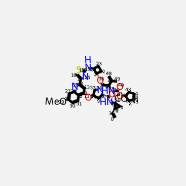 C=C[C@@H]1C[C@]1(NC(=O)[C@@H]1C[C@@H](Oc2cc(-c3csc(NC4CCC4)n3)nc3cc(OC)ccc23)CN1C(=O)[C@@H](NC(=O)OC1CCCC1)C(=C)C)C(=O)O